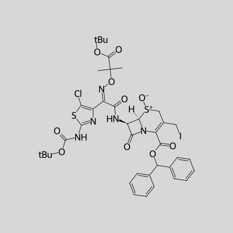 CC(C)(C)OC(=O)Nc1nc(/C(=N/OC(C)(C)C(=O)OC(C)(C)C)C(=O)N[C@@H]2C(=O)N3C(C(=O)OC(c4ccccc4)c4ccccc4)=C(CI)C[S+]([O-])[C@H]23)c(Cl)s1